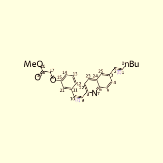 CCCC/C=C/c1ccc2nc(/C=C\c3cccc(OCC(=O)OC)c3)ccc2c1